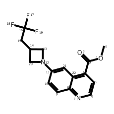 COC(=O)c1ccnc2ccc(N3CC(CC(F)(F)F)C3)cc12